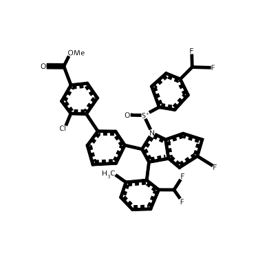 COC(=O)c1ccc(-c2cccc(-c3c(-c4c(C)cccc4C(F)F)c4cc(F)ccc4n3[S+]([O-])c3ccc(C(F)F)cc3)c2)c(Cl)c1